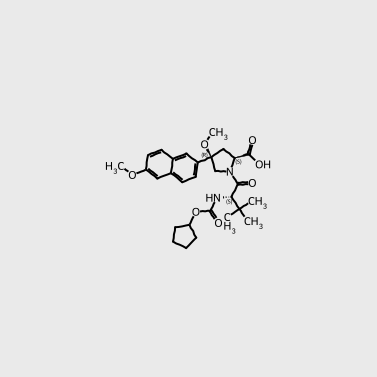 COc1ccc2cc([C@]3(OC)C[C@@H](C(=O)O)N(C(=O)[C@@H](NC(=O)OC4CCCC4)C(C)(C)C)C3)ccc2c1